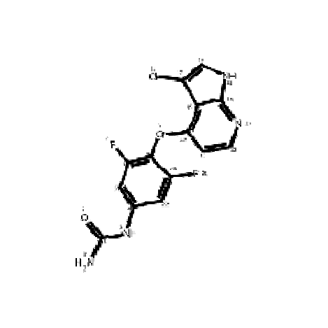 NC(=O)Nc1cc(F)c(Oc2ccnc3[nH]cc(Cl)c23)c(F)c1